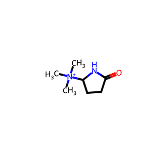 C[N+](C)(C)C1CCC(=O)N1